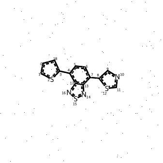 c1csc(-c2ccc(-c3cncs3)c3nsnc23)c1